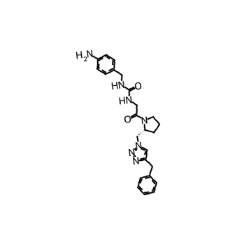 Nc1ccc(CNC(=O)NCC(=O)N2CCC[C@@H]2Cn2cc(Cc3ccccc3)nn2)cc1